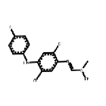 CCN(C)C=Nc1cc(Cl)c(Nc2ccc(F)cc2)cc1Cl